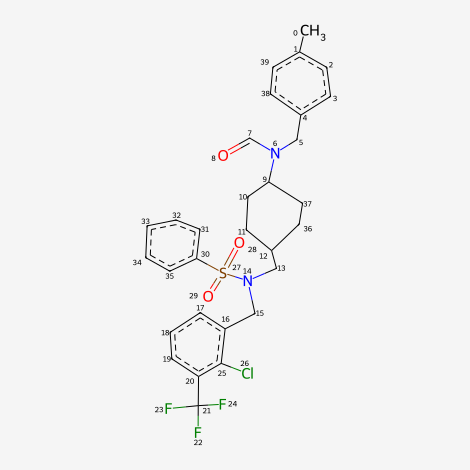 Cc1ccc(CN(C=O)C2CCC(CN(Cc3cccc(C(F)(F)F)c3Cl)S(=O)(=O)c3ccccc3)CC2)cc1